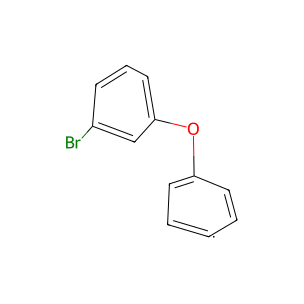 Brc1cccc(Oc2cc[c]cc2)c1